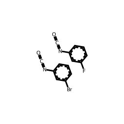 O=C=Nc1cccc(Br)c1.O=C=Nc1cccc(F)c1